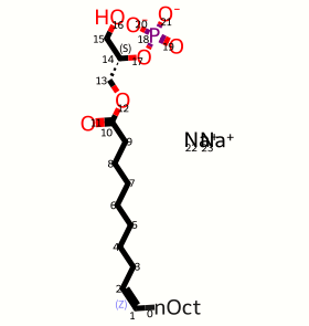 CCCCCCCC/C=C\CCCCCCCC(=O)OC[C@H](CO)OP(=O)([O-])[O-].[Na+].[Na+]